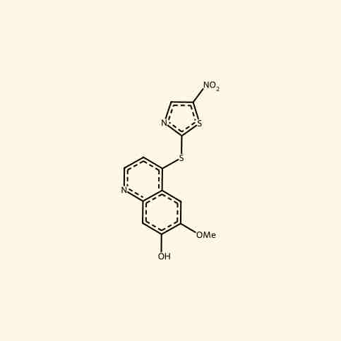 COc1cc2c(Sc3ncc([N+](=O)[O-])s3)ccnc2cc1O